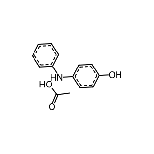 CC(=O)O.Oc1ccc(Nc2ccccc2)cc1